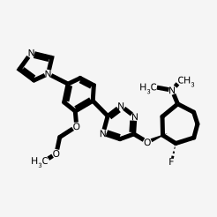 COCOc1cc(-n2ccnc2)ccc1-c1ncc(O[C@H]2CC(N(C)C)CCC[C@@H]2F)nn1